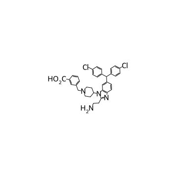 NCCc1nc2ccc(C(c3ccc(Cl)cc3)c3ccc(Cl)cc3)cc2n1C1CCN(Cc2cccc(C(=O)O)c2)CC1